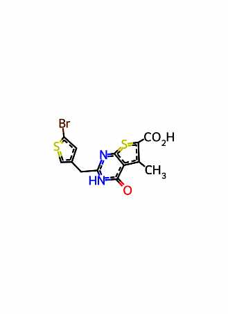 Cc1c(C(=O)O)sc2nc(Cc3csc(Br)c3)[nH]c(=O)c12